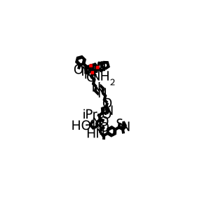 Cc1ncsc1-c1ccc(C(C)NC(=O)[C@@H]2C[C@@H](O)CN2C(=O)C(c2cc(OCCN3CCN(CCOc4cc(N5C6CCC5CN(c5cc(-c7ccccc7O)nnc5N)C6)ccn4)CC3)no2)C(C)C)cc1